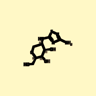 Nc1nsc(N[C@H]2CO[C@H](CO)[C@H](O)[C@@H]2O)n1